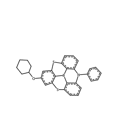 c1ccc(N2c3cccc4c3B3c5c(cc(OC6CCCCC6)cc5Sc5cccc2c53)S4)cc1